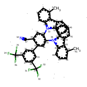 Cc1cccc2c1c1ccccc1n2-c1cc(C#N)c(-c2cc(C(F)(F)F)cc(C(F)(F)F)c2)cc1-n1c2ccccc2c2c(C)cccc21